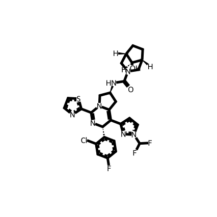 O=C(N[C@H]1CC2=C(c3ccn(C(F)F)n3)[C@H](c3ccc(F)cc3Cl)N=C(c3nccs3)N2C1)N1C[C@H]2CC[C@@H](C1)[C@@H]2O